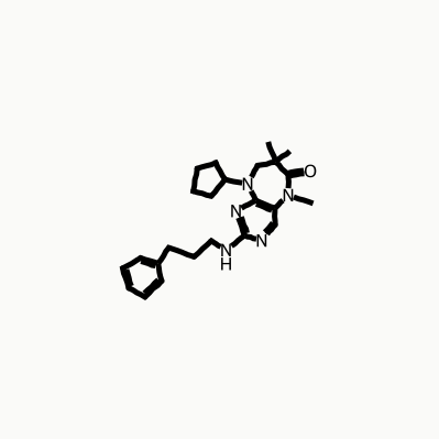 CN1C(=O)C(C)(C)CN(C2CCCC2)c2nc(NCCCc3ccccc3)ncc21